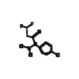 O=C(CC(F)F)N(c1ccc(Cl)cc1)N(Cl)Cl